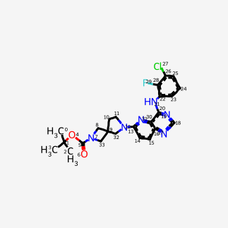 CC(C)(C)OC(=O)N1CC2(CCN(c3ccc4ncnc(Nc5cccc(Cl)c5F)c4n3)C2)C1